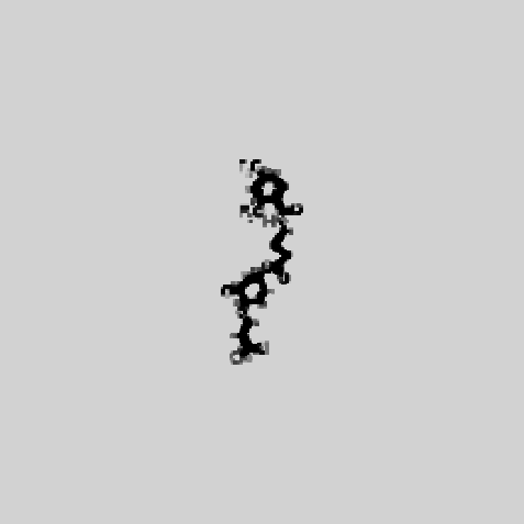 O=C(CCCNC(=O)c1ccc(C(F)(F)F)cc1C(F)(F)F)OC1=CC(=O)C(OCC=C(Cl)Cl)C=C1